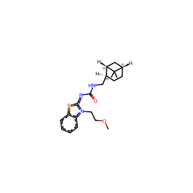 COCCn1c(=NC(=O)NC[C@@H]2CC[C@H]3C[C@@H]2C3(C)C)sc2ccccc21